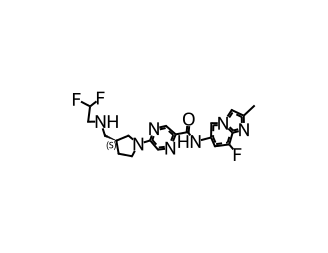 Cc1cn2cc(NC(=O)c3cnc(N4CC[C@@H](CNCC(F)F)C4)cn3)cc(F)c2n1